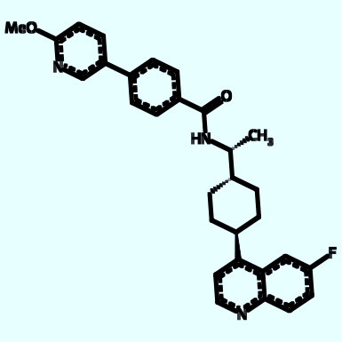 COc1ccc(-c2ccc(C(=O)N[C@H](C)[C@H]3CC[C@H](c4ccnc5ccc(F)cc54)CC3)cc2)cn1